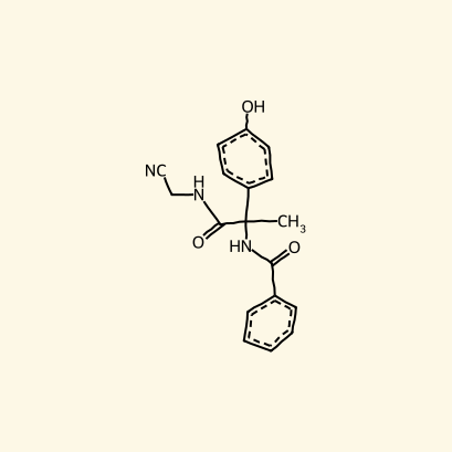 CC(NC(=O)c1ccccc1)(C(=O)NCC#N)c1ccc(O)cc1